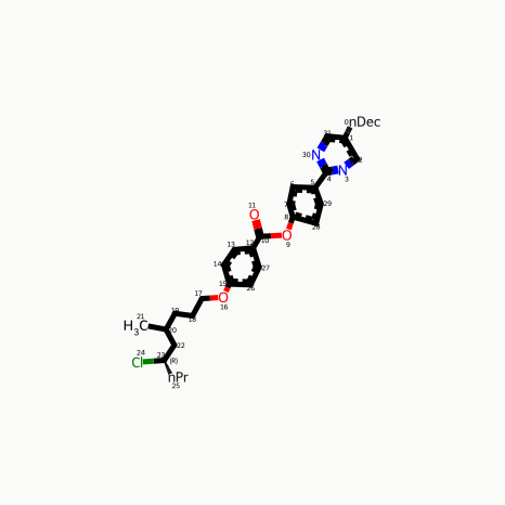 CCCCCCCCCCc1cnc(-c2ccc(OC(=O)c3ccc(OCCCC(C)C[C@H](Cl)CCC)cc3)cc2)nc1